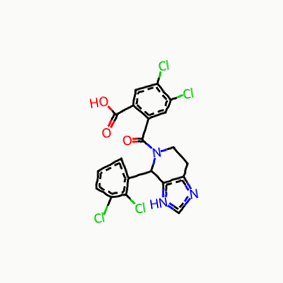 O=C(O)c1cc(Cl)c(Cl)cc1C(=O)N1CCc2nc[nH]c2C1c1cccc(Cl)c1Cl